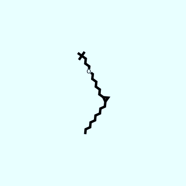 CCCCCCCCCC1CC1CCCCCCOCCCC(C)(C)C